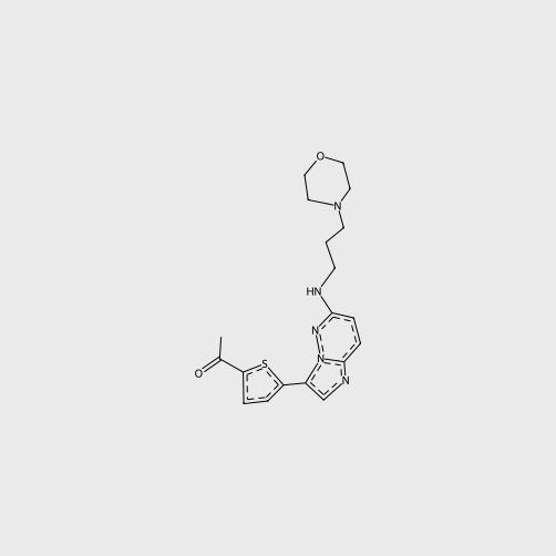 CC(=O)c1ccc(-c2cnc3ccc(NCCCN4CCOCC4)nn23)s1